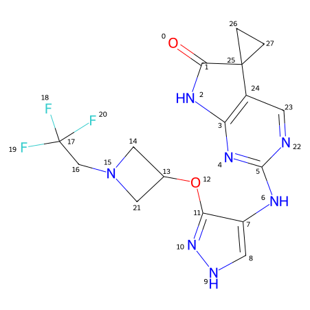 O=C1Nc2nc(Nc3c[nH]nc3OC3CN(CC(F)(F)F)C3)ncc2C12CC2